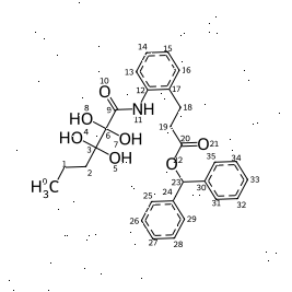 CCCC(O)(O)C(O)(O)C(=O)Nc1ccccc1CCC(=O)OC(c1ccccc1)c1ccccc1